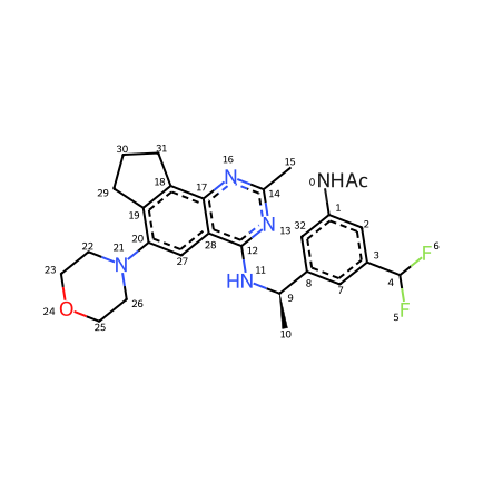 CC(=O)Nc1cc(C(F)F)cc([C@@H](C)Nc2nc(C)nc3c4c(c(N5CCOCC5)cc23)CCC4)c1